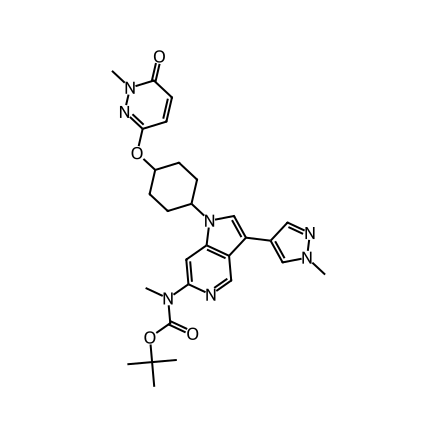 CN(C(=O)OC(C)(C)C)c1cc2c(cn1)c(-c1cnn(C)c1)cn2C1CCC(Oc2ccc(=O)n(C)n2)CC1